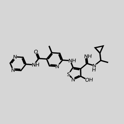 Cc1cc(Nc2snc(O)c2C(=N)NC(C)C2CC2)ncc1C(=O)Nc1cncnc1